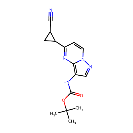 CC(C)(C)OC(=O)Nc1cnn2ccc(C3CC3C#N)nc12